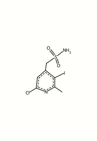 Cc1nc(Cl)cc(CS(N)(=O)=O)c1I